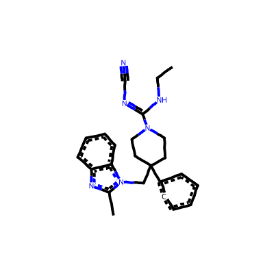 CCN/C(=N\C#N)N1CCC(Cn2c(C)nc3ccccc32)(c2ccccc2)CC1